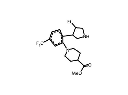 CCC1CNCC1c1ccc(C(F)(F)F)cc1N1CCC(C(=O)OC)CC1